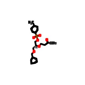 COC(=O)CCO[C@H](COCc1ccccc1)COS(=O)(=O)c1ccc(C)cc1